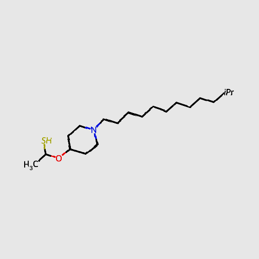 CC(C)CCCCCCCCCCN1CCC(OC(C)S)CC1